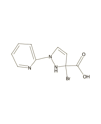 O=C(O)C1(Br)C=CN(c2ccccn2)N1